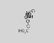 O=C(O)CC1CCC(c2ccc(C(=O)Nc3nnc(Cc4ccccc4)o3)cc2)CC1